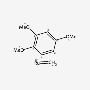 COc1ccc(OC)c(OC)c1.[CH2]=[Ru]